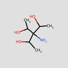 CC(O)C(N)(C(C)O)C(C)O